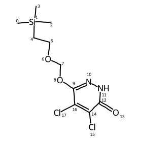 C[Si](C)(C)CCOCOc1n[nH]c(=O)c(Cl)c1Cl